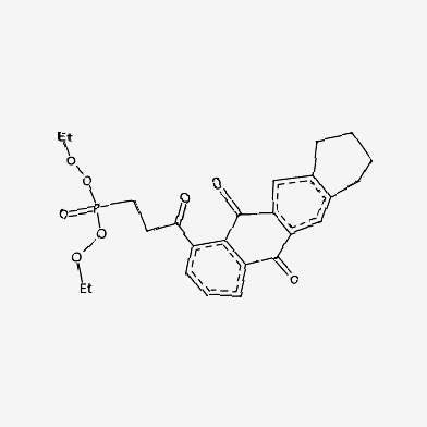 CCOOP(=O)(CCC(=O)c1cccc2c1C(=O)c1cc3c(cc1C2=O)CCCC3)OOCC